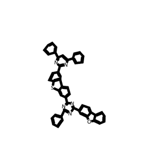 c1ccc(-c2cc(-c3ccccc3)nc(-c3ccc4sc5cc(-c6nc(-c7ccccc7)nc(-c7ccc8c(c7)oc7ccccc78)n6)ccc5c4c3)n2)cc1